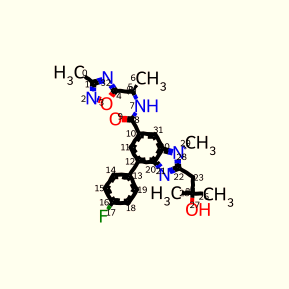 Cc1noc([C@@H](C)NC(=O)c2cc(-c3ccc(F)cc3)c3nc(CC(C)(C)O)n(C)c3c2)n1